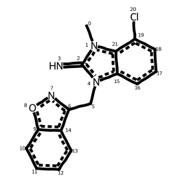 Cn1c(=N)n(Cc2noc3ccccc23)c2cccc(Cl)c21